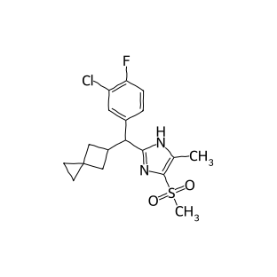 Cc1[nH]c(C(c2ccc(F)c(Cl)c2)C2CC3(CC3)C2)nc1S(C)(=O)=O